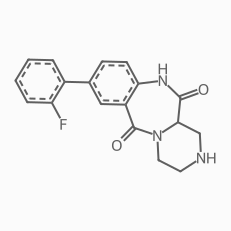 O=C1Nc2ccc(-c3ccccc3F)cc2C(=O)N2CCNCC12